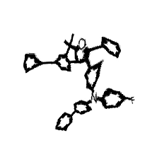 CC1(C)c2cc(-c3ccccc3)ccc2-c2c1oc(-c1ccccc1)c2-c1ccc(N(c2ccc(F)cc2)c2ccc(-c3ccccc3)cc2)cc1